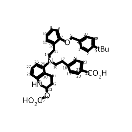 CC(C)(C)c1ccc(COc2ccccc2CCN(CCc2ccc(C(=O)O)cc2)c2cccc3c2CCC(OC(=O)O)N3)cc1